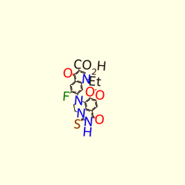 CCn1cc(C(=O)O)c(=O)c2cc(F)c(N3CCn4c(=S)[nH]c(=O)c5cc6c(c3c54)OCO6)cc21